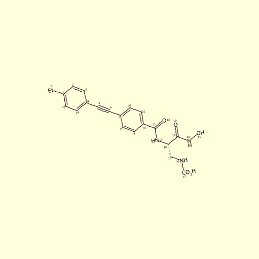 CCc1ccc(C#Cc2ccc(C(=O)N[C@@H](CNC(=O)O)C(=O)NO)cc2)cc1